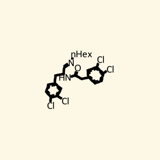 CCCCCCN=CC(Cc1ccc(Cl)c(Cl)c1)NC(=O)Cc1ccc(Cl)c(Cl)c1